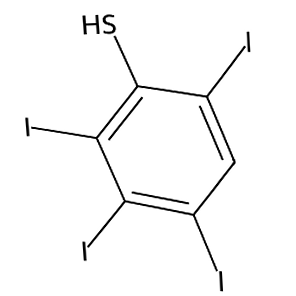 Sc1c(I)cc(I)c(I)c1I